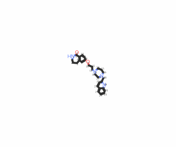 O=C1NCCCc2cc(OCCCN3CCCN(Cc4ccc5ccccc5n4)CC3)ccc21